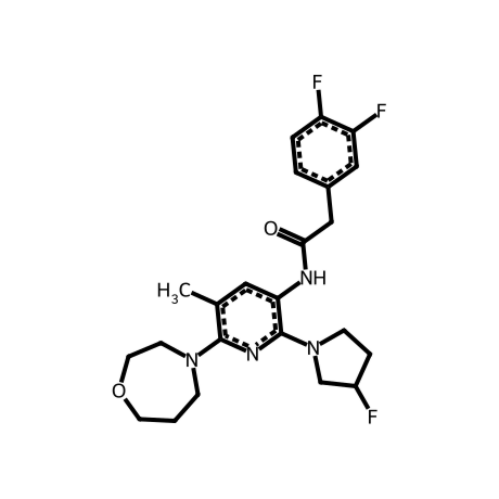 Cc1cc(NC(=O)Cc2ccc(F)c(F)c2)c(N2CCC(F)C2)nc1N1CCCOCC1